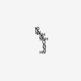 Cc1cccc(-c2nccc(Nc3ccnc(Nc4ccc(N5CCN(C6CCNC6)CC5)cc4)n3)n2)n1